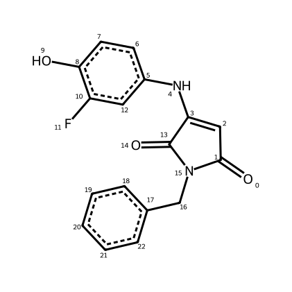 O=C1C=C(Nc2ccc(O)c(F)c2)C(=O)N1Cc1ccccc1